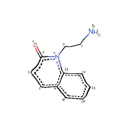 NCCn1c(=O)ccc2ccccc21